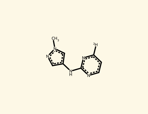 [2H]c1ccnc(Nc2cnn(C)c2)n1